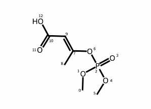 COP(=O)(OC)O/C(C)=C/C(=O)O